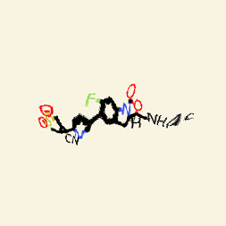 CC(=O)NCC1OC(=O)N2c3cc(F)c(-c4ccc(C5(C#N)C6CS(=O)(=O)CC65)nc4)cc3C[C@@H]12